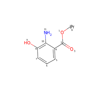 CC(C)OC(=O)c1cccc(O)c1N